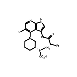 CC(C)CC(=O)Nc1c[nH]c2ncc(Br)c(N3CCC[C@@H](N(N)C(=O)O)C3)c12